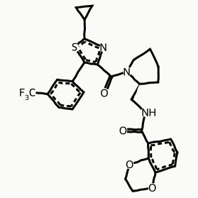 O=C(NC[C@@H]1CCCCN1C(=O)c1nc(C2CC2)sc1-c1cccc(C(F)(F)F)c1)c1cccc2c1OCCO2